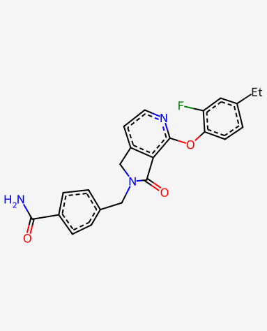 CCc1ccc(Oc2nccc3c2C(=O)N(Cc2ccc(C(N)=O)cc2)C3)c(F)c1